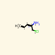 C=C/C=C(/N)CCl